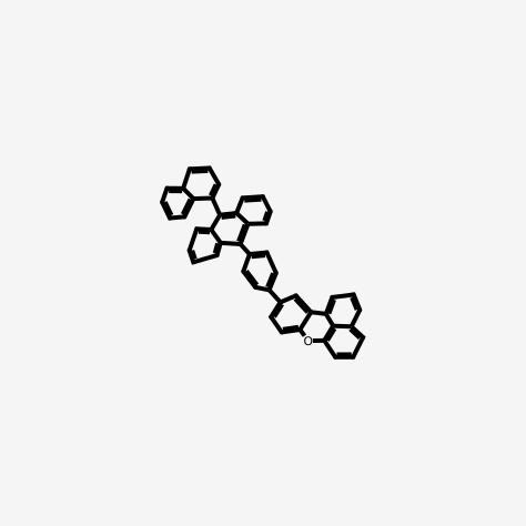 c1ccc2c(-c3c4ccccc4c(-c4ccc(-c5ccc6c(c5)-c5cccc7cccc(c57)O6)cc4)c4ccccc34)cccc2c1